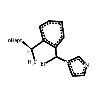 CCCCCCC[C@H](C)c1ccccc1C(CC)n1ccnc1